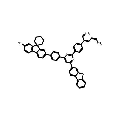 C=C/C(=C\C=C/C)c1ccc(-c2nc(-c3ccc(-c4ccc5c(c4)C4(CCCCC4)c4cc(C#N)ccc4-5)cc3)nc(-c3ccc4c(c3)oc3ccccc34)n2)cc1